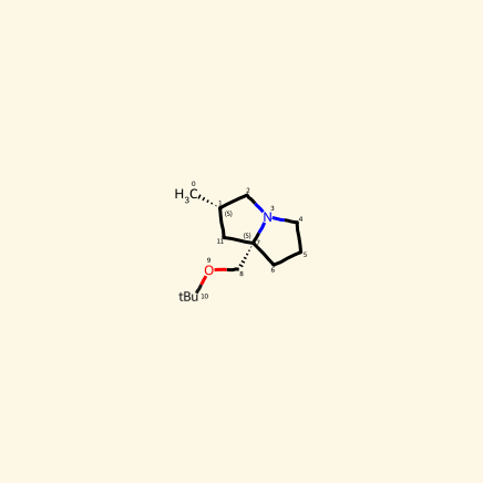 C[C@@H]1CN2CCC[C@@]2(COC(C)(C)C)C1